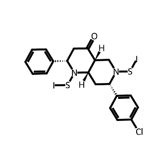 O=C1C[C@@H](c2ccccc2)N(SI)[C@H]2C[C@@H](c3ccc(Cl)cc3)N(SI)C[C@@H]12